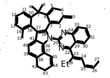 C=C/C=C1\C(=C/C)C(C)(C)c2cccc(C)c2-c2c1n(-c1nc(/C(=C/C=C\C)CC)c3ccccc3n1)c1c3c(ccc21)CCC=C3